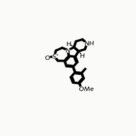 COc1ccc(-c2cc3c4c(c2)[C@@H]2CNCC[C@@H]2N4CC[S+]([O-])C3)c(C)c1